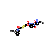 C=C1CCC(N2Cc3c(NC(=O)OCCSSCCC(=O)N(CC(=O)O)Cc4ccccc4)cccc3C2=O)C(=O)N1